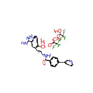 N=C(N)c1ccc(O)c(/C=C/CNC(=O)c2ccc(-c3cccnc3)cc2)c1.O=C(O)C(F)(F)F.O=C(O)C(F)(F)F